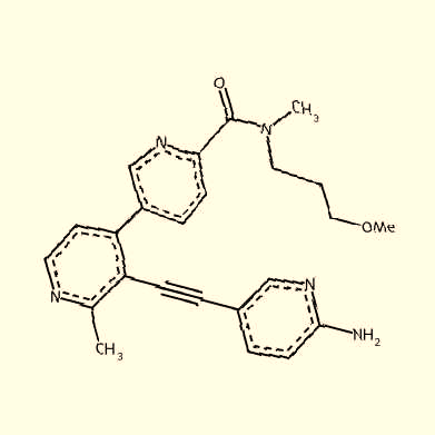 COCCCN(C)C(=O)c1ccc(-c2ccnc(C)c2C#Cc2ccc(N)nc2)cn1